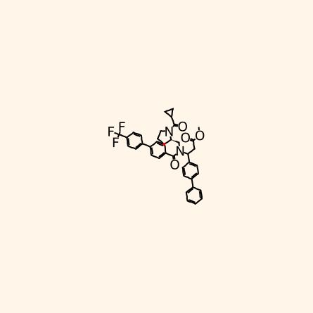 COC(=O)CC(c1ccc(-c2ccccc2)cc1)N(C[C@H]1CCCN1C(=O)C1CC1)C(=O)c1ccc(-c2ccc(C(F)(F)F)cc2)cc1